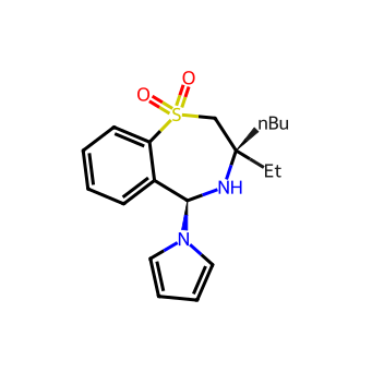 CCCC[C@]1(CC)CS(=O)(=O)c2ccccc2[C@H](n2cccc2)N1